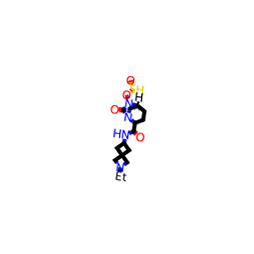 CCN1CC2(CC(NC(=O)C3CC[C@@H]4CN3C(=O)N4O[SH]=O)C2)C1